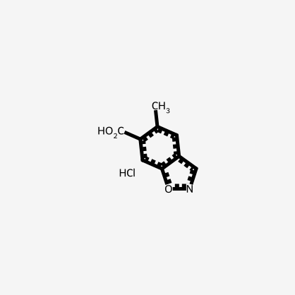 Cc1cc2cnoc2cc1C(=O)O.Cl